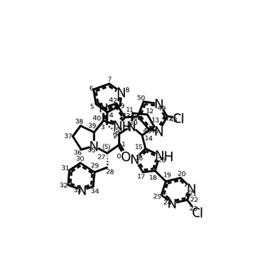 O=C([C@H](Cc1cccnc1)N1CCCC1c1ncc(-c2cnc(Cl)nc2)[nH]1)[C@H](Cc1cccnc1)N1CCCC1c1ncc(-c2cnc(Cl)nc2)[nH]1